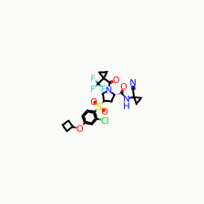 N#CC1(NC(=O)[C@@H]2CC(S(=O)(=O)c3ccc(OC4CCC4)cc3Cl)CN2C(=O)C2(C(F)(F)F)CC2)CC1